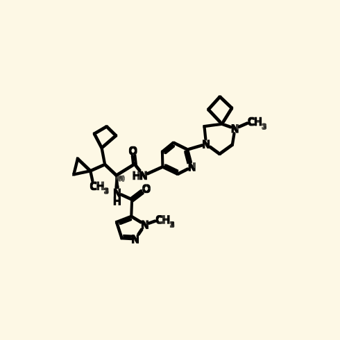 CN1CCN(c2ccc(NC(=O)[C@@H](NC(=O)c3ccnn3C)C(C3CCC3)C3(C)CC3)cn2)CC12CCC2